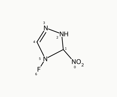 O=[N+]([O-])C1NN=CN1F